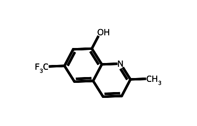 Cc1ccc2cc(C(F)(F)F)cc(O)c2n1